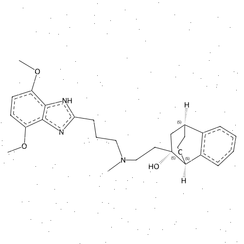 COc1ccc(OC)c2[nH]c(CCCN(C)CC[C@@]3(O)C[C@@H]4CCC[C@H]3c3ccccc34)nc12